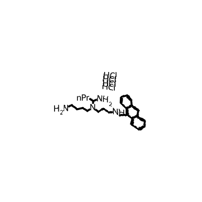 CCCC(N)N(CCCCN)CCCNCc1c2ccccc2cc2ccccc12.Cl.Cl.Cl.Cl